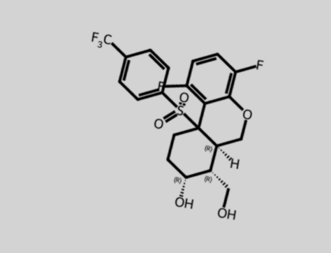 O=S(=O)(c1ccc(C(F)(F)F)cc1)C12CC[C@@H](O)[C@@H](CO)[C@@H]1COc1c(F)ccc(F)c12